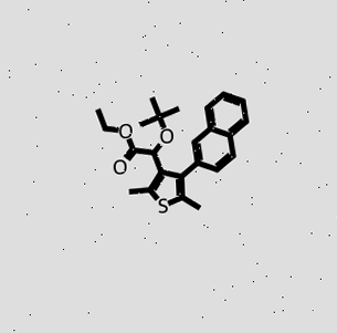 CCOC(=O)C(OC(C)(C)C)c1c(C)sc(C)c1-c1ccc2ccccc2c1